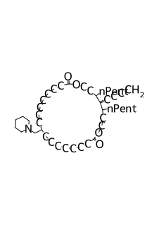 C=C=C=C=C1C(CCCCC)CCOC(=O)CCCCCCCC(CN2CCCCC2)CCCCCCCC(=O)OCCC1CCCCC